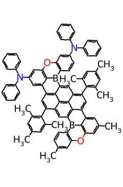 Cc1cc(C)c(-c2cc3c4c(cc5c(-c6c(C)cc(C)cc6C)cc6c7c(cc2c4c57)B2c4ccc(N(c5ccccc5)c5ccccc5)cc4Oc4cc(N(c5ccccc5)c5ccccc5)cc-6c42)B2c4ccc(C)cc4Oc4cc(C)cc-3c42)c(C)c1